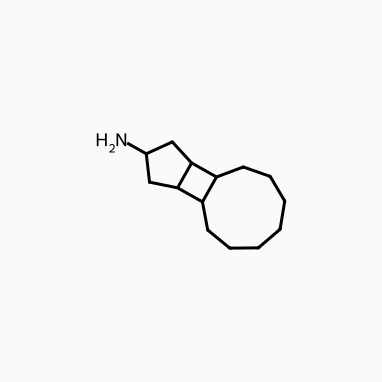 NC1CC2C3CCCCCCCC3C2C1